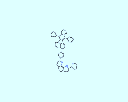 c1ccc(-c2c3c(c(-c4ccccc4)c4ccccc24)-c2ccc(-c4ccc(-c5ccc6ccc7ccc(-c8ccccn8)nc7c6n5)cc4)c4cccc-3c24)cc1